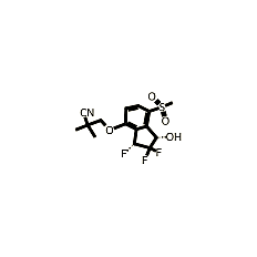 CC(C)(C#N)COc1ccc(S(C)(=O)=O)c2c1[C@@H](F)C(F)(F)[C@H]2O